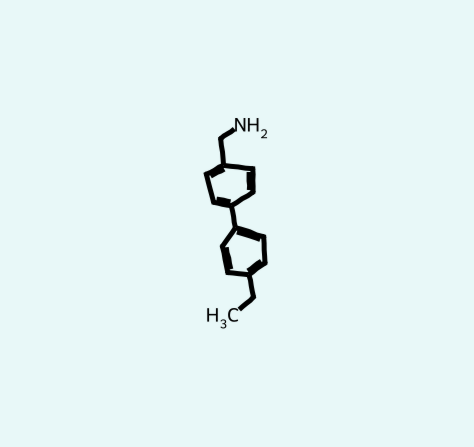 CCc1ccc(-c2ccc(CN)cc2)cc1